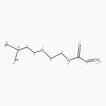 C=CC(=O)OCCOCCN(C(C)C)C(C)C